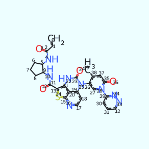 C=CC(=O)NC1CCCC1NC(=O)c1sc2nccc3c2c1NC(=O)N3c1cn(-c2cccnn2)c(=O)cc1C